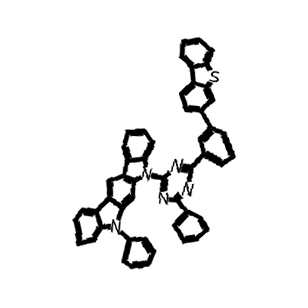 c1ccc(-c2nc(-c3cccc(-c4ccc5c(c4)sc4ccccc45)c3)nc(-n3c4ccccc4c4cc5c6ccccc6n(-c6ccccc6)c5cc43)n2)cc1